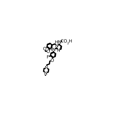 CN1CCN(CCCOc2ccc(NC3=NC=CC(NC(=O)O)N3Cc3ccc4c(c3)OCO4)cc2F)CC1